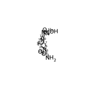 NC[C@H]1CN(c2ccc(-n3ccc(-c4noc(CO)n4)c3)c(F)c2)C(=O)O1